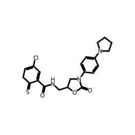 O=C(NCC1CN(c2ccc(N3CCCC3)cc2)C(=O)O1)C1=CC(Cl)=CCC1=S